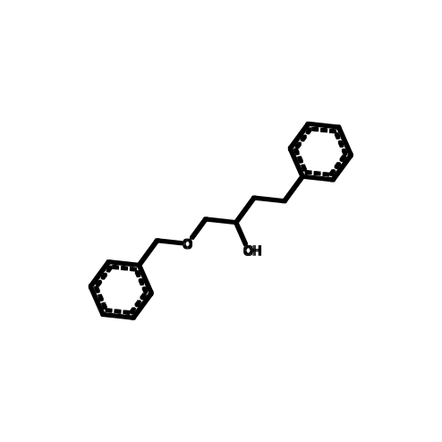 OC(CCc1ccccc1)COCc1ccccc1